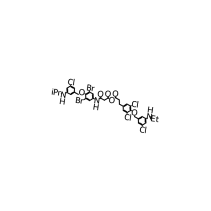 CCNc1cc(Cl)cc(COc2c(Cl)cc(CCC(=O)OC(=O)CC(=O)Nc3cc(Br)c(OCc4cc(Cl)cc(NC(C)C)c4)c(Br)c3)cc2Cl)c1